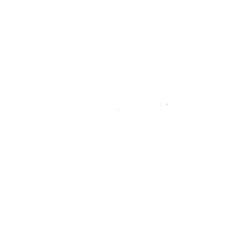 O=[C]C(CCC1CCCC1)C(=O)CCCC1CCCCC1